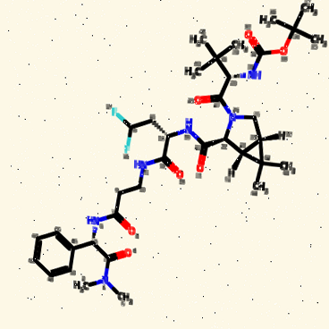 CN(C)C(=O)[C@@H](NC(=O)CCNC(=O)[C@H](CC(F)F)NC(=O)[C@@H]1[C@@H]2[C@H](CN1C(=O)[C@@H](NC(=O)OC(C)(C)C)C(C)(C)C)C2(C)C)c1ccccc1